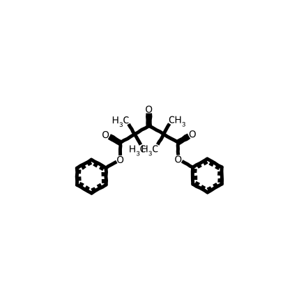 CC(C)(C(=O)Oc1ccccc1)C(=O)C(C)(C)C(=O)Oc1ccccc1